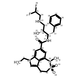 CCn1cc2c3c(cc(C(=O)N[C@@H](Cc4ccccc4)[C@H](O)CNCC(F)F)cc31)N(C)S(=O)(=O)CC2